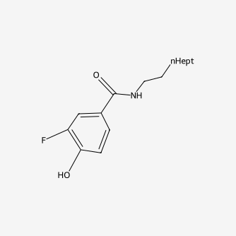 CCCCCCCCCNC(=O)c1ccc(O)c(F)c1